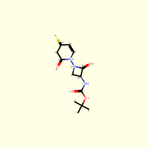 CC(C)(C)OC(=O)N[C@H]1CN(N2C=CC(=S)CC2=O)C1=O